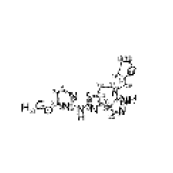 COc1ccnc(Nc2nc3c(s2)CCN(CC2CCCO2)c2[nH]ncc2-3)n1